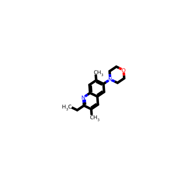 CCc1nc2cc(C)c(N3CCOCC3)cc2cc1C